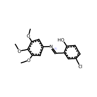 COc1cc(/N=C/c2cc(Cl)ccc2O)cc(OC)c1OC